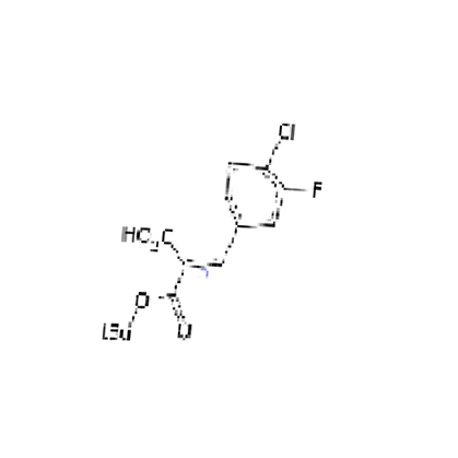 CC(C)(C)OC(=O)/C(=C/c1ccc(Cl)c(F)c1)C(=O)O